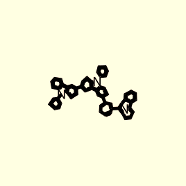 C1#CC(C2=C3C=CC=C4c5ccccc5C2N43)=CC(c2ccc3c(c2)c2cc(-c4ccc5c(c4)c4ccccc4n5-c4ccccc4)ccc2n3-c2ccccc2)=CC1